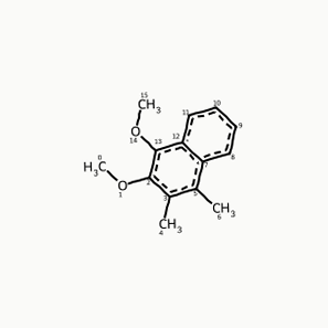 COc1c(C)c(C)c2ccccc2c1OC